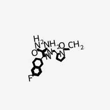 C=CC(=O)N1CCC[C@H]1Cn1nc([C@@H]2CCc3cc(F)ccc3C2)c(C(N)=O)c1N